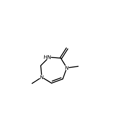 C=C1NCN(C)C=CN1C